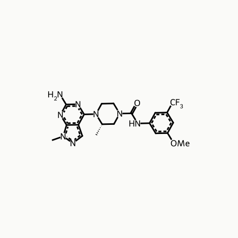 COc1cc(NC(=O)N2CCN(c3nc(N)nc4c3cnn4C)[C@@H](C)C2)cc(C(F)(F)F)c1